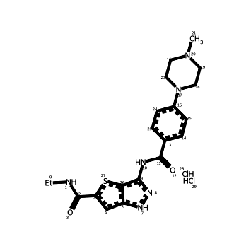 CCNC(=O)c1cc2[nH]nc(NC(=O)c3ccc(N4CCN(C)CC4)cc3)c2s1.Cl.Cl